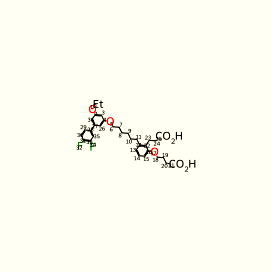 CCOc1cc(OCCCCCCc2cccc(OCCCC(=O)O)c2CCC(=O)O)cc(-c2ccc(F)c(F)c2)c1